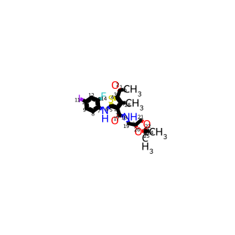 CC(=O)c1sc(Nc2ccc(I)cc2F)c(C(=O)NCC2COC(C)(C)O2)c1C